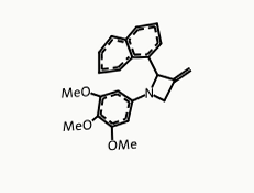 C=C1CN(c2cc(OC)c(OC)c(OC)c2)C1c1cccc2ccccc12